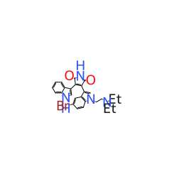 CCN(CC)CCn1cc(C2=C(c3c[nH]c4ccccc34)C(=O)NC2=O)c2cc(Br)ccc21